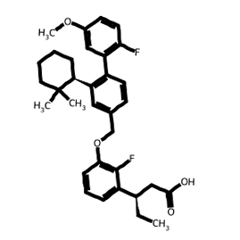 CC[C@H](CC(=O)O)c1cccc(OCc2ccc(-c3cc(OC)ccc3F)c([C@@H]3CCCCC3(C)C)c2)c1F